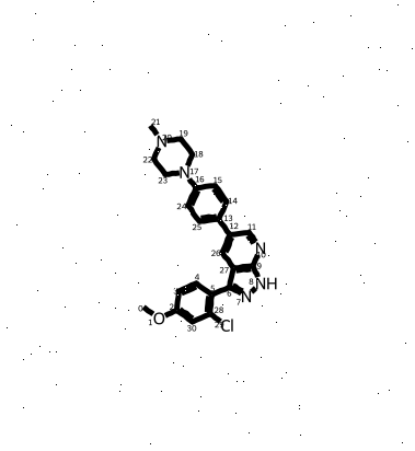 COc1ccc(-c2n[nH]c3ncc(-c4ccc(N5CCN(C)CC5)cc4)cc23)c(Cl)c1